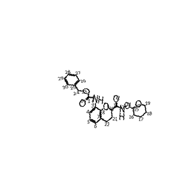 O=C(Nc1cccc2c1OC(C(=O)NOC1CCCCO1)CC2)OCc1ccccc1